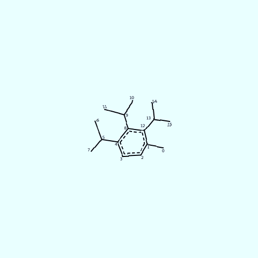 Cc1ccc(C(C)C)c(C(C)C)c1C(C)C